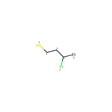 CCC(Cl)CCS